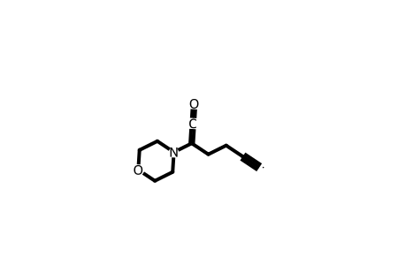 [C]#CCCC(=C=O)N1CCOCC1